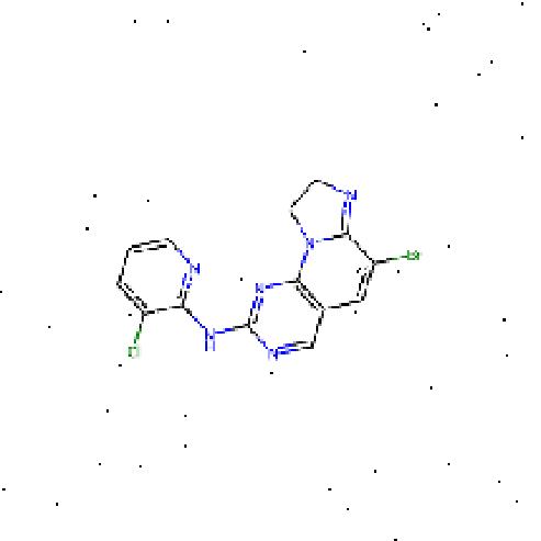 Clc1cccnc1Nc1ncc2c(n1)N1CCN=C1C(Br)=C2